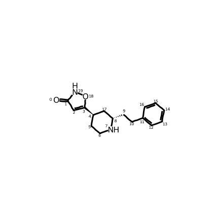 O=c1cc([C@@H]2CCN[C@@H](CCc3ccccc3)C2)o[nH]1